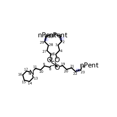 CCCCC/C=C\CCCO[Si](CCCCN1CCCCC1)(OCCC/C=C\CCCCC)OCCC/C=C\CCCCC